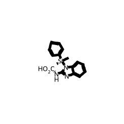 C[Si](C)(c1ccccc1)n1c(NC(=O)O)nc2ccccc21